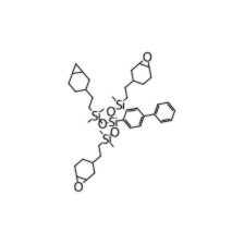 C[Si](C)(CCC1CCC2CC2C1)O[Si](O[Si](C)(C)CCC1CCC2OC2C1)(O[Si](C)(C)CCC1CCC2OC2C1)c1ccc(-c2ccccc2)cc1